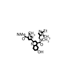 CCc1ncc(CN(C)C(=O)c2cc(-c3cc(C(=O)NC)n(C)n3)nc3ccc(O)cc23)n1C